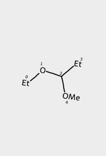 CCOC(CC)OC